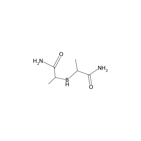 CC(BC(C)C(N)=O)C(N)=O